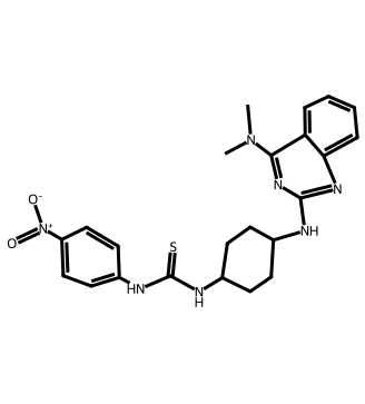 CN(C)c1nc(NC2CCC(NC(=S)Nc3ccc([N+](=O)[O-])cc3)CC2)nc2ccccc12